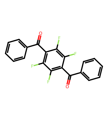 O=C(c1ccccc1)c1c(F)c(F)c(C(=O)c2ccccc2)c(F)c1F